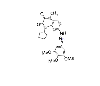 COc1cc(/C=N/Nc2ncc3c(n2)n(C2CCCC2)c(=O)c(=O)n3C)cc(OC)c1OC